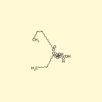 CCCCC/C=C\C/C=C\CCCCCCCCCCCC(=O)OC[C@H](COP(=O)(O)OC[C@@H](O)CO)OC(=O)CCCCCCC/C=C\CCCCCC